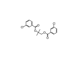 CC(C)(COC(=O)c1cccc(Cl)c1)OC(=O)c1cccc(Cl)c1